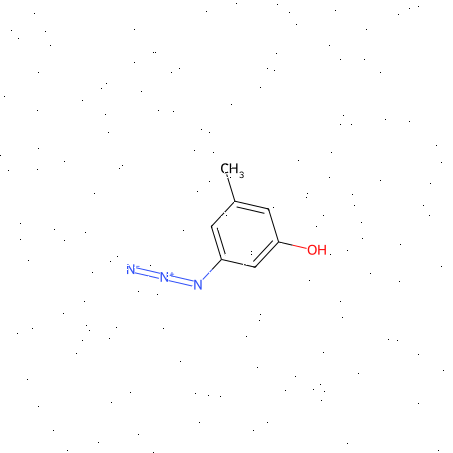 Cc1cc(O)cc(N=[N+]=[N-])c1